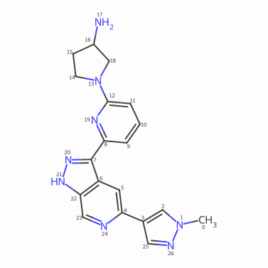 Cn1cc(-c2cc3c(-c4cccc(N5CCC(N)C5)n4)n[nH]c3cn2)cn1